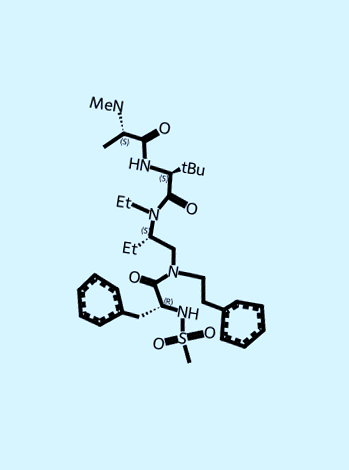 CC[C@@H](CN(CCc1ccccc1)C(=O)[C@@H](Cc1ccccc1)NS(C)(=O)=O)N(CC)C(=O)[C@@H](NC(=O)[C@H](C)NC)C(C)(C)C